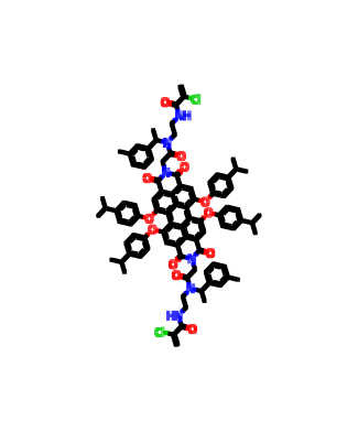 C=C(Cl)C(=O)NCCN(C(=O)CN1C(=O)c2cc(Oc3ccc(C(C)C)cc3)c3c4c(Oc5ccc(C(C)C)cc5)cc5c6c(cc(Oc7ccc(C(C)C)cc7)c(c7c(Oc8ccc(C(C)C)cc8)cc(c2c37)C1=O)c64)C(=O)N(CC(=O)N(CCNC(=O)C(=C)Cl)C(C)c1cccc(C)c1)C5=O)C(C)c1cccc(C)c1